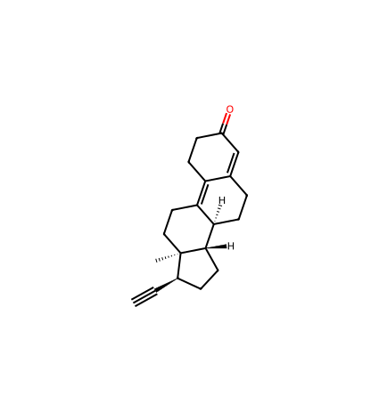 C#C[C@@H]1CC[C@H]2[C@@H]3CCC4=CC(=O)CCC4=C3CC[C@]12C